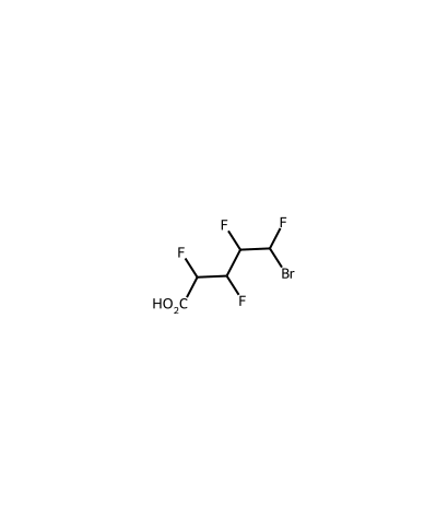 O=C(O)C(F)C(F)C(F)C(F)Br